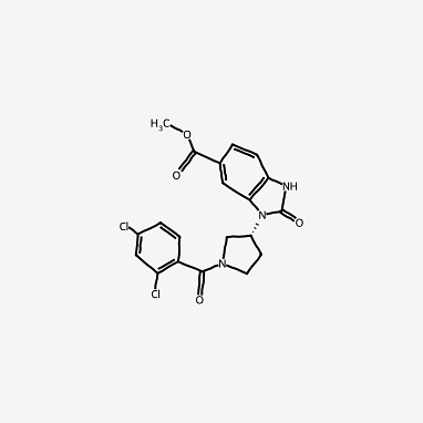 COC(=O)c1ccc2[nH]c(=O)n([C@@H]3CCN(C(=O)c4ccc(Cl)cc4Cl)C3)c2c1